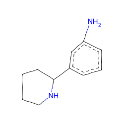 Nc1cccc(C2CCCCN2)c1